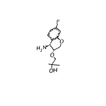 CC(C)(O)CO[C@H]1COc2cc(F)ccc2[C@@H]1N